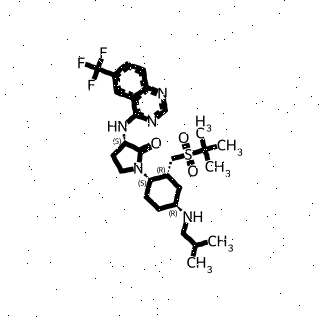 CC(C)CN[C@@H]1CC[C@H](N2CC[C@H](Nc3ncnc4ccc(C(F)(F)F)cc34)C2=O)[C@H](CS(=O)(=O)C(C)(C)C)C1